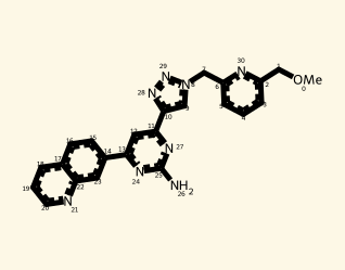 COCc1cccc(Cn2cc(-c3cc(-c4ccc5cccnc5c4)nc(N)n3)nn2)n1